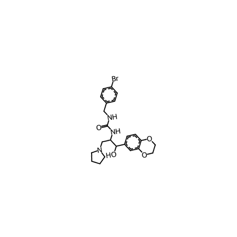 O=C(NCc1ccc(Br)cc1)NC(CN1CCCC1)C(O)c1ccc2c(c1)OCCO2